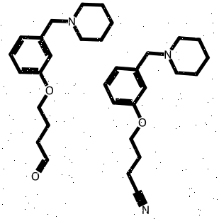 N#CCCCOc1cccc(CN2CCCCC2)c1.O=CCCCOc1cccc(CN2CCCCC2)c1